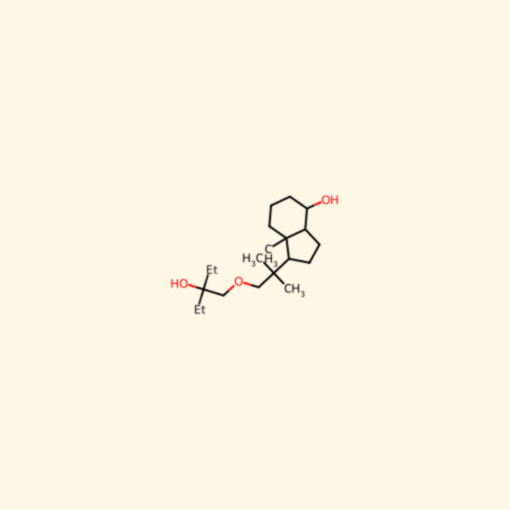 CCC(O)(CC)COCC(C)(C)C1CCC2C(O)CCCC21C